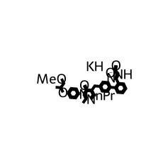 CCCc1nc(C)n(-c2ccc(OC(C)COC)cc2)c(=O)c1Cc1ccc(-c2ccccc2-c2noc(=O)[nH]2)cc1.[KH]